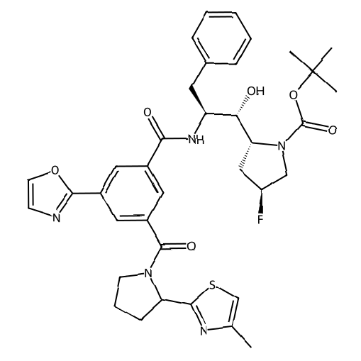 Cc1csc(C2CCCN2C(=O)c2cc(C(=O)N[C@@H](Cc3ccccc3)[C@H](O)[C@H]3C[C@H](F)CN3C(=O)OC(C)(C)C)cc(-c3ncco3)c2)n1